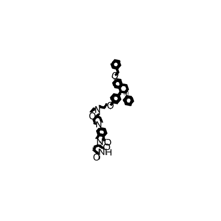 O=C1CCC(N2Cc3cc(N4CCC5(CC4)CN(CCCOc4ccc(C6c7ccc(OCc8ccccc8)cc7CC[C@@H]6c6ccccc6)cc4)CCO5)ccc3C2=O)C(=O)N1